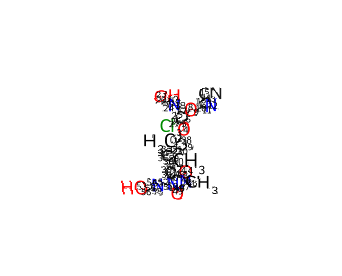 Cc1c(COc2cc(OCc3cncc(C#N)c3)c(CN3CC(CO)C3)cc2Cl)cccc1-c1cccc(-c2ccc3c(c2)C(=O)N(C)CC(=O)N3CCN2CC(CO)C2)c1C